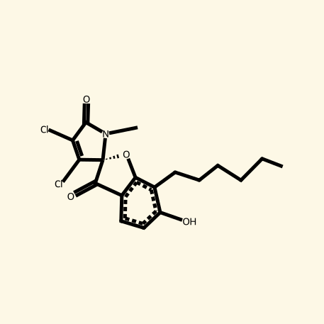 CCCCCCc1c(O)ccc2c1O[C@]1(C2=O)C(Cl)=C(Cl)C(=O)N1C